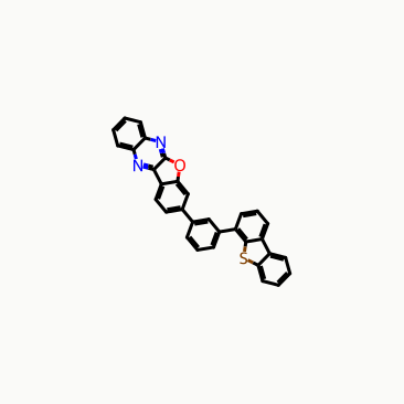 c1cc(-c2ccc3c(c2)oc2nc4ccccc4nc23)cc(-c2cccc3c2sc2ccccc23)c1